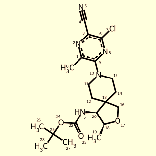 Cc1nc(C#N)c(Cl)nc1N1CCC2(CC1)CO[C@@H](C)[C@H]2NC(=O)OC(C)(C)C